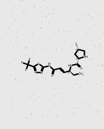 CC[C@@H](/C=C/C(=O)Nc1nnc(C(F)(F)F)s1)NC(=O)[C@@H]1C[C@H](F)CN1